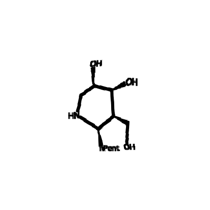 CCCCC[C@H]1NC[C@@H](O)[C@@H](O)[C@H]1CO